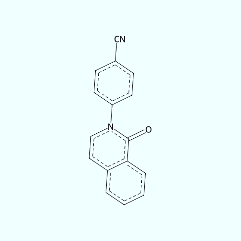 N#Cc1ccc(-n2ccc3ccccc3c2=O)cc1